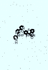 O=[SH](=O)N[C@@H](c1ccccc1F)c1ccc(Oc2ncccc2-c2ccnc(N[C@H]3CCCNC3)n2)c(F)c1F